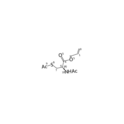 C=CCOC(=O)[C@H](CSC(C)=O)NC(C)=O